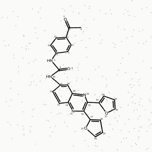 CC(=O)c1ccc(NC(=O)Nc2ccc3nc(-c4ccco4)c(-c4ccco4)nc3c2)cc1